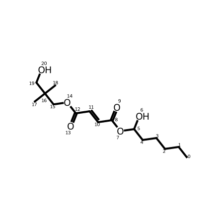 CCCCCC(O)OC(=O)/C=C/C(=O)OCC(C)(C)CO